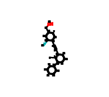 Cc1c(C#Cc2ccc(CO)cc2F)cccc1-c1ccccc1